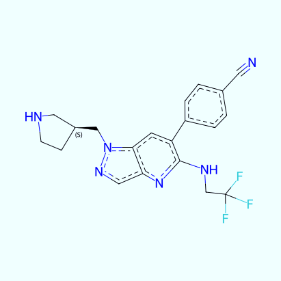 N#Cc1ccc(-c2cc3c(cnn3C[C@H]3CCNC3)nc2NCC(F)(F)F)cc1